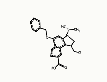 CB(O)N1CC(CCl)c2c1cc(OCc1ccccc1)c1ccc(C(=O)O)cc21